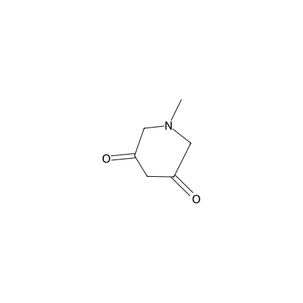 CN1CC(=O)CC(=O)C1